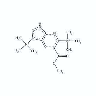 COC(=O)c1cc2c([N+](C)(C)C)c[nH]c2nc1[N+](C)(C)C